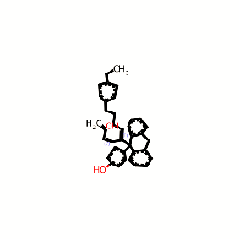 C=C(O)/C=C\C(=C/CCCc1ccc(CC)cc1)C1(c2ccc(O)cc2)c2ccccc2Cc2ccccc21